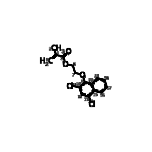 C=C(C)C(=O)OCCOc1c(Cl)cc(Cl)c2ccccc12